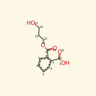 O=C(O)c1ccccc1C(=O)OCCCO